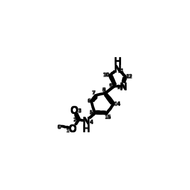 COC(=O)Nc1ccc(-c2c[nH]cn2)cc1